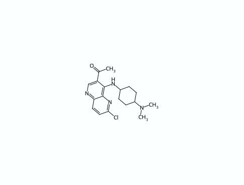 CC(=O)c1cnc2ccc(Cl)nc2c1NC1CCC(N(C)C)CC1